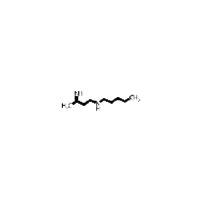 CCCCCNCCC(C)=N